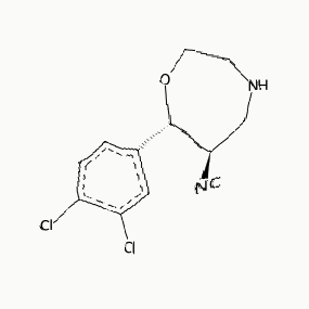 [C-]#[N+][C@@H]1CNCCO[C@H]1c1ccc(Cl)c(Cl)c1